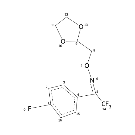 Fc1ccc(/C(=N\OCC2OCCO2)C(F)(F)F)cc1